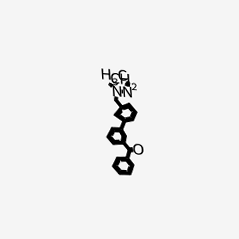 C=CN(Cc1cccc(-c2cccc(C(=O)c3ccccc3)c2)c1)/N=C\C